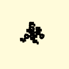 C=C(/C=C\C(F)=C/C)[C@H]1c2c(C)nn(-c3ccccc3)c2N=C(OCC)[C@H]1NC(=O)c1cccc(C)c1